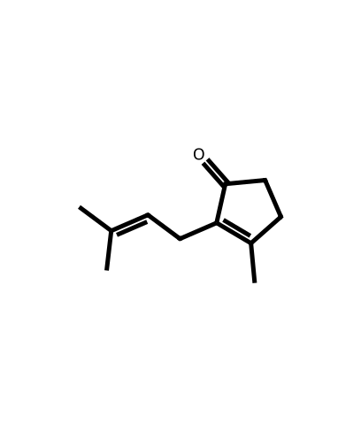 CC(C)=CCC1=C(C)CCC1=O